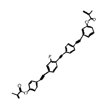 C=C(C)C(=O)Oc1ccc(C#Cc2ccc(C#Cc3ccc(C#Cc4cccc(OC(=O)C(=C)C)c4)cc3)c(F)c2)cc1